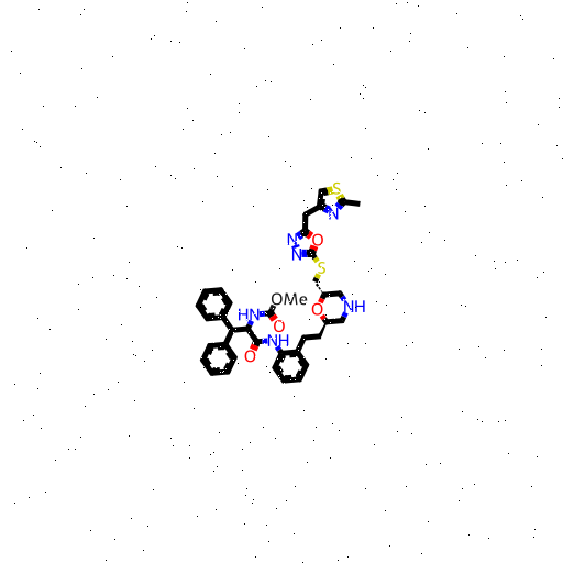 COC(=O)NC(C(=O)Nc1ccccc1CC[C@@H]1CNC[C@@H](CSc2nnc(Cc3csc(C)n3)o2)O1)C(c1ccccc1)c1ccccc1